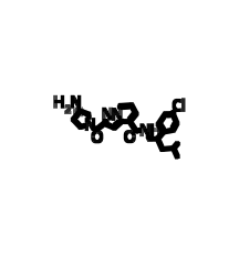 CC(C)CC(CNC(=O)c1cccn2nc(C(=O)N3CC[C@@H](N)C3)cc12)c1ccc(Cl)cc1